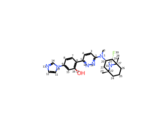 CN(c1ccc(-c2ccc(-n3ccnc3)cc2O)nn1)[C@@H]1C[C@@]2(C)CCC[C@@](C)([C@H]1F)N2C